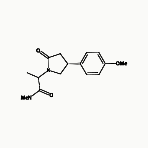 CNC(=O)C(C)N1C[C@@H](c2ccc(OC)cc2)CC1=O